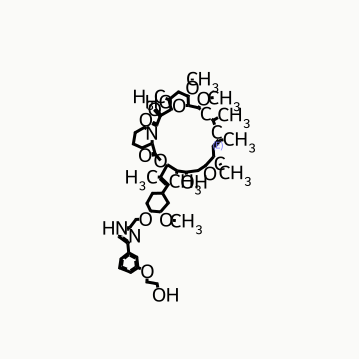 CCC1/C=C(\C)CC(C)CC(OC)C2OC(O)(C(=O)C(=O)N3CCCCC3C(=O)OC(C(C)=CC3CCC(OCc4nc(-c5cccc(OCCO)c5)c[nH]4)C(OC)C3)C(C)C(O)CC1=O)C(C)CC2OC